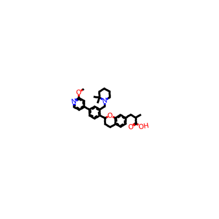 COc1cc(-c2ccc(C3CCc4ccc(CC(C)C(=O)O)cc4O3)c(CN3CCCCC3(C)C)c2)ccn1